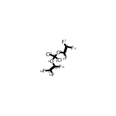 FC(F)=C(F)OC(Cl)(Cl)OC(F)=C(F)F